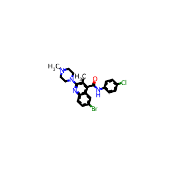 Cc1c(N2CCN(C)CC2)nc2ccc(Br)cc2c1C(=O)Nc1[c]cc(Cl)cc1